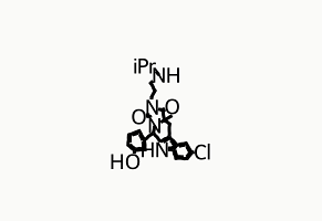 CC(C)NCCCN1C(=O)N2C(c3cccc(O)c3)c3[nH]c4ccc(Cl)cc4c3CC2(C)C1=O